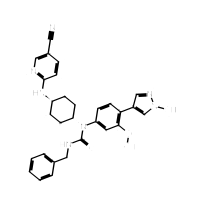 COc1cc(N(C(=O)NCc2ccccc2)[C@H]2CC[C@H](Nc3ccc(C#N)cn3)CC2)ccc1-c1cnn(C)c1